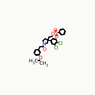 CC(C)Oc1cccc(CC(=O)N2CCC(CCOS(=O)(=O)c3ccccc3)(c3ccc(Cl)c(Cl)c3)C2)c1